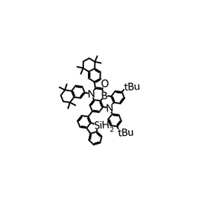 CC(C)(C)c1ccc(N2c3ccc(C(C)(C)C)cc3B3c4oc5cc6c(cc5c4N(c4ccc5c(c4)C(C)(C)CCC5(C)C)c4cc(-c5cccc7c5[SiH2]c5ccccc5-7)cc2c43)C(C)(C)CCC6(C)C)cc1